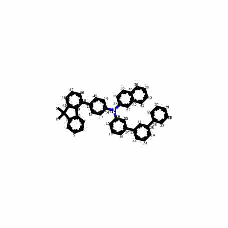 CC1(C)c2ccccc2-c2c(-c3ccc(N(c4cccc(-c5cccc(-c6ccccc6)c5)c4)c4ccc5ccccc5c4)cc3)cccc21